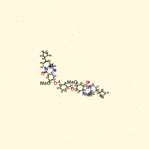 COc1cc2c(cc1OCc1cccc(COc3cc4c(cc3OC)C(=O)N3CC=C(c5ccsc5)C[C@H]3C=N4)c1)N=C[C@@H]1CC(c3ccsc3)=CCN1C2=O